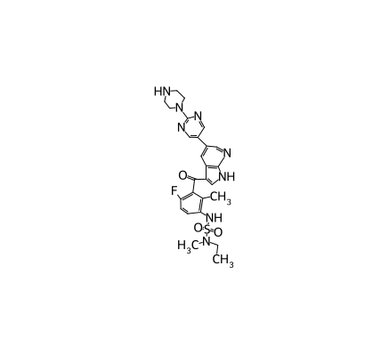 CCN(C)S(=O)(=O)Nc1ccc(F)c(C(=O)c2c[nH]c3ncc(-c4cnc(N5CCNCC5)nc4)cc23)c1C